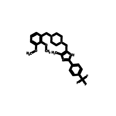 COc1cccc(CN2CCN(Cc3[nH]c(-c4ccc(C(F)(F)F)cc4)nc3C)CC2)c1OC